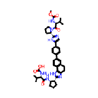 COC(=O)N[C@H](C(=O)N1CCC[C@H]1c1ncc(-c2ccc(-c3ccc4c(c3)CCc3nc([C@@H]5CCC[C@@H]5NC(=O)[C@@H](NC(=O)O)C(C)C)[nH]c3-4)cc2)[nH]1)C(C)C